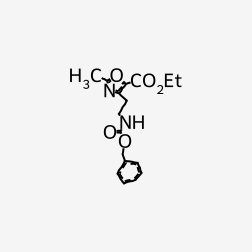 CCOC(=O)c1oc(C)nc1CCNC(=O)OCc1ccccc1